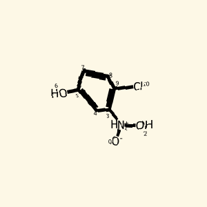 [O-][NH+](O)c1cc(O)ccc1Cl